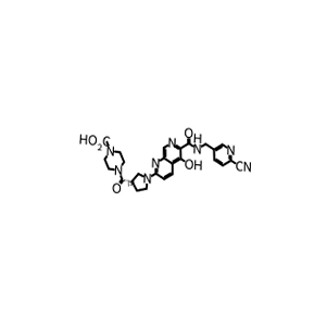 N#Cc1ccc(CNC(=O)c2ncc3nc(N4CC[C@H](C(=O)N5CCN(C(=O)O)CC5)C4)ccc3c2O)cn1